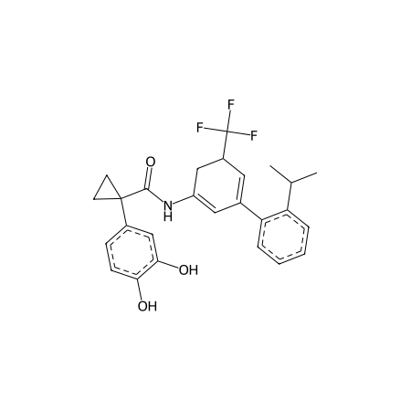 CC(C)c1ccccc1C1=CC(C(F)(F)F)CC(NC(=O)C2(c3ccc(O)c(O)c3)CC2)=C1